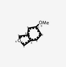 COc1ccc2co[c]c2c1